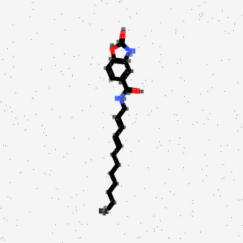 CCCCCCC/C=C/C=C/CNC(=O)c1ccc2oc(=O)[nH]c2c1